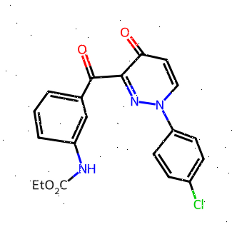 CCOC(=O)Nc1cccc(C(=O)c2nn(-c3ccc(Cl)cc3)ccc2=O)c1